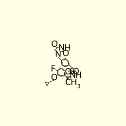 C[C@@H](NS(=O)(=O)Cc1ccc(CN2CC(=O)NC2=O)cc1)c1ccc(F)c(OCC2CC2)c1